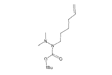 C=CCCCCN(C(=O)OC(C)(C)C)N(C)C